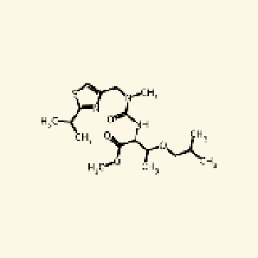 COC(=O)[C@@H](NC(=O)N(C)Cc1csc(C(C)C)n1)C(C)OCC(C)C